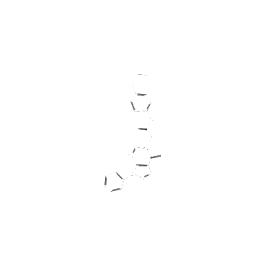 C=C1c2cnn(-c3ccccc3)c2N=CN1CC(=O)Nc1ccc2c(c1)OCCO2